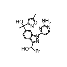 Cc1cc(C(C)(O)c2ccc3c(C(O)C(C)C)nn(-c4ccnc(N)n4)c3c2)no1